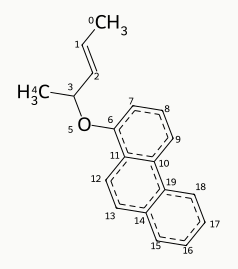 CC=CC(C)Oc1cccc2c1ccc1ccccc12